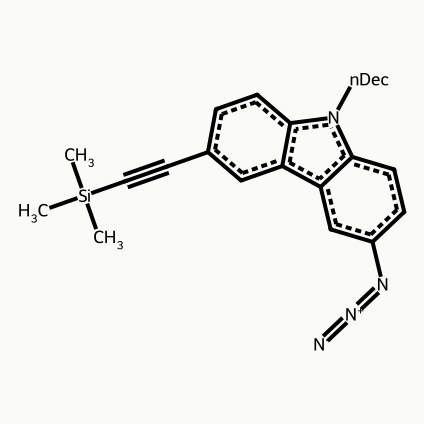 CCCCCCCCCCn1c2ccc(C#C[Si](C)(C)C)cc2c2cc(N=[N+]=[N-])ccc21